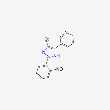 CCc1nc(-c2ccccc2N=O)[nH]c1-c1cccnc1